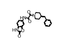 O=C(Nc1ccc2[nH]c(=O)oc2c1)C(=O)N1CCC(=Cc2ccccc2)CC1